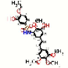 CCOc1ccc(S(=O)(=O)Nc2cc(C=Cc3cc(OC)c(OC)c(OC)c3)cc(O)c2OC)cc1O